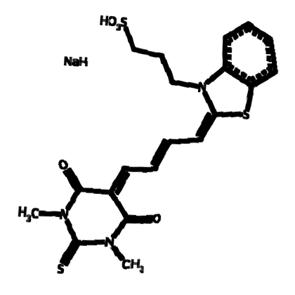 CN1C(=O)C(=CC=CC=C2Sc3ccccc3N2CCCS(=O)(=O)O)C(=O)N(C)C1=S.[NaH]